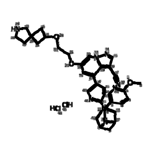 COc1ccc(CN2C3CC2CN(c2ccc(-c4cc(OCCOC5CC6(CCNC6)C5)cn5ncc(C#N)c45)cn2)C3)cn1.Cl.Cl